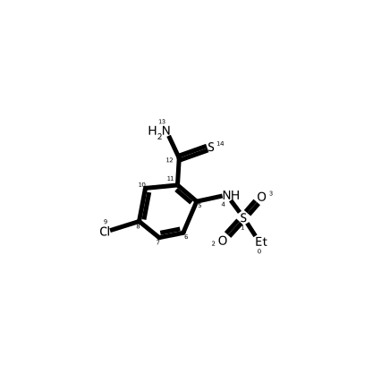 CCS(=O)(=O)Nc1c[c]c(Cl)cc1C(N)=S